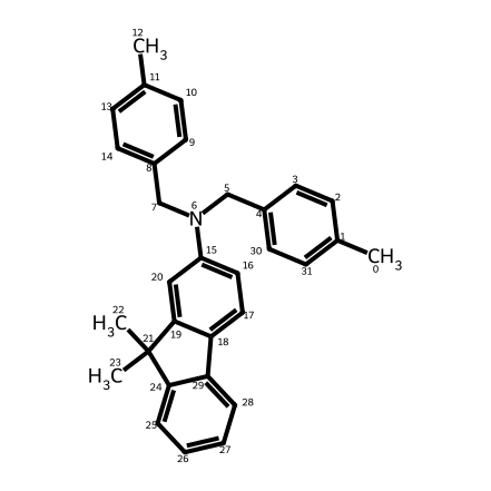 Cc1ccc(CN(Cc2ccc(C)cc2)c2ccc3c(c2)C(C)(C)c2ccccc2-3)cc1